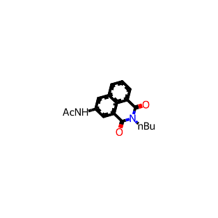 CCCCN1C(=O)c2cccc3cc(NC(C)=O)cc(c23)C1=O